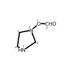 O=CON1CCNC1